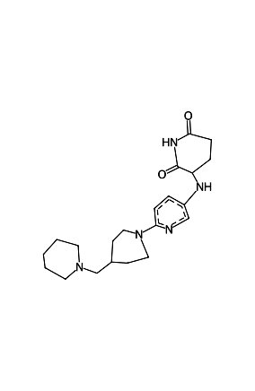 O=C1CCC(Nc2ccc(N3CCC(CN4CCCCC4)CC3)nc2)C(=O)N1